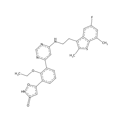 CCOc1c(-c2cc(NCCc3c(C)sc4c(C)cc(F)cc34)ncn2)cccc1-c1cc(=O)[nH]o1